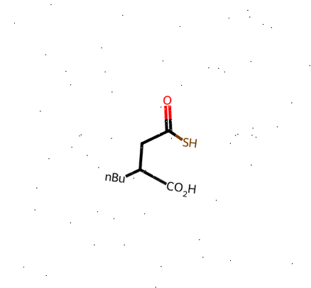 CCCCC(CC(=O)S)C(=O)O